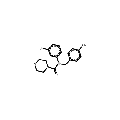 N#Cc1ccc(CN(C(=O)N2CCOCC2)c2cccc(C(F)(F)F)c2)cc1